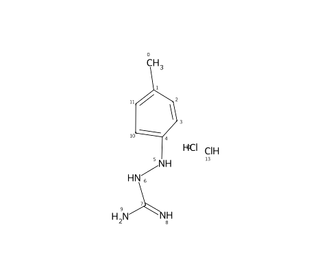 Cc1ccc(NNC(=N)N)cc1.Cl.Cl